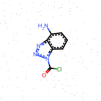 Nc1cccc2c1nnn2C(=O)Cl